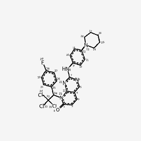 O=c1ccc2cnc(Nc3ccc(N4CCCCC4)cc3)nc2n1C(c1ccc(F)cc1)C(Cl)(Cl)Cl